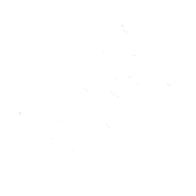 COc1ccc(-n2c(C3Cc4ccccc4N3)nc3c(-c4ccc(C)nc4)cc(C#N)cc3c2=O)cc1F